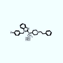 CN(c1nc2ccccc2n1Cc1ccc(F)cc1)C1CCN(CCc2ccccc2)CC1.Cl.Cl